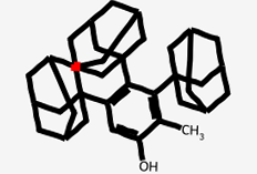 Cc1c(O)cc(C23CC4CC(CC(C4)C2)C3)c(C23CC4CC(CC(C4)C2)C3)c1C12CC3CC(CC(C3)C1)C2